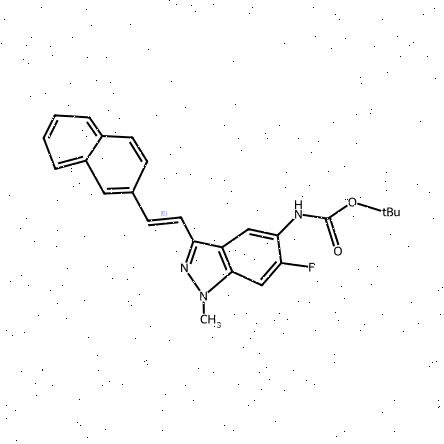 Cn1nc(/C=C/c2ccc3ccccc3c2)c2cc(NC(=O)OC(C)(C)C)c(F)cc21